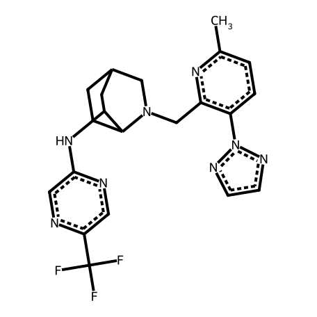 Cc1ccc(-n2nccn2)c(CN2CC3CCC2C(Nc2cnc(C(F)(F)F)cn2)C3)n1